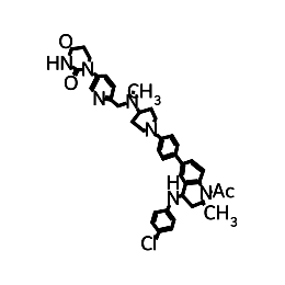 CC(=O)N1c2ccc(-c3ccc(N4CCC(N(C)Cc5ccc(N6CCC(=O)NC6=O)cn5)CC4)cc3)cc2C(Nc2ccc(Cl)cc2)CC1C